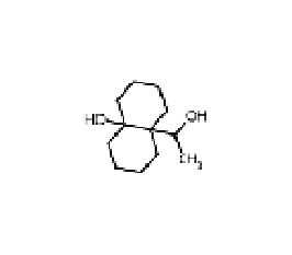 CC(O)C12CCCCC1(O)CCCC2